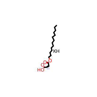 CCCCCCCCCCCCCCOC(=O)/C=C\C(=O)O.[KH]